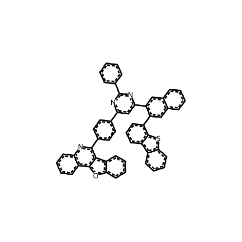 c1ccc(-c2nc(-c3ccc(-c4nc5ccccc5c5oc6ccccc6c45)cc3)cc(-c3cc4ccccc4cc3-c3cccc4c3sc3ccccc34)n2)cc1